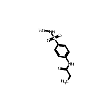 CCC(=O)Nc1ccc(S(=O)(=O)NO)cc1